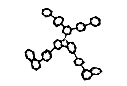 c1ccc(-c2ccc(-c3cc(-c4ccc(-c5ccccc5)cc4)cc(-n4c5ccc(-c6ccc(-c7cccc8ccccc78)cc6)cc5c5cc(-c6ccc(-c7cccc8ccccc78)cc6)ccc54)c3)cc2)cc1